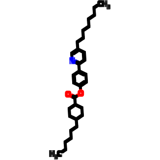 CCCCCCCCc1ccc(-c2ccc(OC(=O)C3CCC(CCCCCC)CC3)cc2)nc1